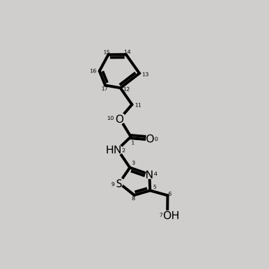 O=C(Nc1nc(CO)cs1)OCc1ccccc1